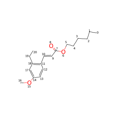 CCCCCCOC(=O)/C=C/c1ccc(OC)cc1CC